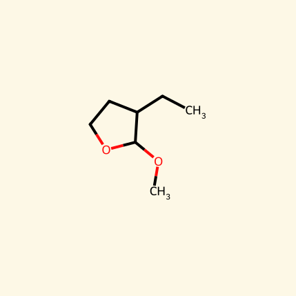 CCC1CCOC1OC